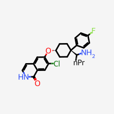 CCCC(N)[C@]1(c2ccc(F)cc2)CC[C@@H](Oc2cc3cc[nH]c(=O)c3cc2Cl)CC1